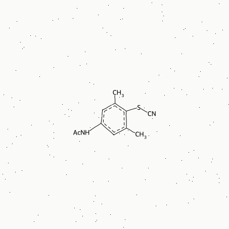 CC(=O)Nc1cc(C)c(SC#N)c(C)c1